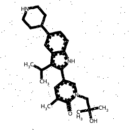 Cc1cc(-c2[nH]c3ccc(C4CCNCC4)cc3c2C(C)C)cn(CC(C)(C)O)c1=O